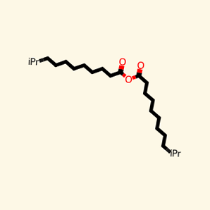 CC(C)CCCCCCCCC(=O)OC(=O)CCCCCCCCC(C)C